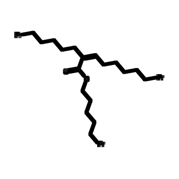 CC(C)CCCCCC=C(CCCCCC(C)C)C(=O)OCCCCCC(C)C